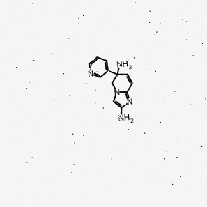 Nc1cn2c(n1)C=CC(N)(c1cccnc1)C2